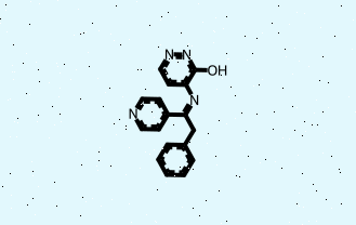 Oc1nnccc1/N=C(/Cc1ccccc1)c1ccncc1